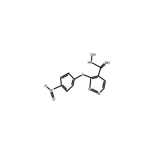 N=C(NO)c1ccnnc1Sc1ccc([N+](=O)[O-])cc1